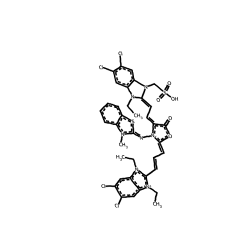 CCN1C(=CC=c2c(=O)oc(=CC=Cc3n(CC)c4cc(Cl)c(Cl)cc4[n+]3CC)n2/N=c2\sc3ccccc3n2C)N(CS(=O)(=O)O)c2cc(Cl)c(Cl)cc21